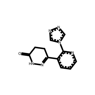 O=C1CCC(c2cccnc2-n2cnnc2)=NN1